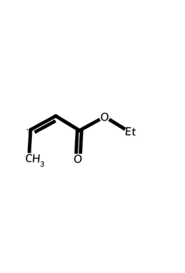 C/[C]=C\C(=O)OCC